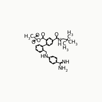 CC(C)(C)CNC(=O)c1ccc(-c2ccccc2CNc2ccc(C(=N)N)cc2)c(C(=O)OS(C)(=O)=O)c1